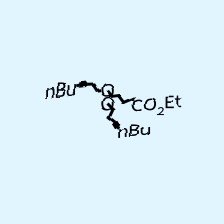 CCCCC#CCCOC(CCCC(=O)OCC)OCCC#CCCCC